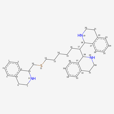 c1ccc2c(c1)CCNC2CSCCCCCC(C1NCCc2ccccc21)C1NCCc2ccccc21